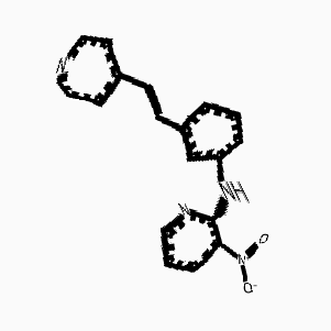 O=[N+]([O-])c1cccnc1Nc1cccc(C=Cc2ccncc2)c1